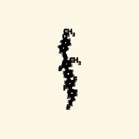 CCOc1ccc2cc(C#Cc3cc(F)c(-c4ccc(-c5cc(F)c(-c6ccc(CCCF)cc6)cc5F)cc4)cc3C)ccc2c1